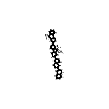 CCC1(CC)C2=C(CCC(c3ccc4c(c3)C(C)(C)C3C=C(C5=CC6C=CC(C7=Cc8ccccc8CC7)=CC6C=C5)CCC43)=C2)c2ccccc21